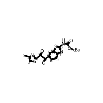 Cc1csc(C(=O)C(=O)c2ccc3nc(NC(=O)OC(C)(C)C)sc3c2)n1